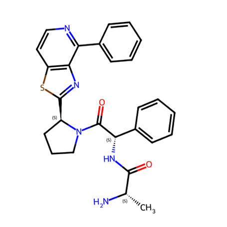 C[C@H](N)C(=O)N[C@H](C(=O)N1CCC[C@H]1c1nc2c(-c3ccccc3)nccc2s1)c1ccccc1